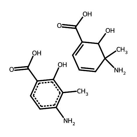 CC1(N)C=CC=C(C(=O)O)C1O.Cc1c(N)ccc(C(=O)O)c1O